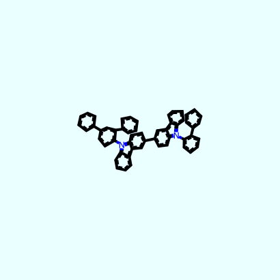 c1ccc(-c2ccc(-n3c4ccccc4c4cc(-c5ccc6c(c5)c5ccccc5n6-c5ccccc5-c5ccccc5)ccc43)c(-c3ccccc3)c2)cc1